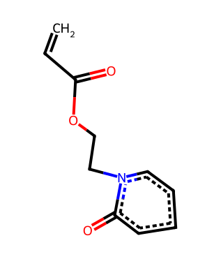 C=CC(=O)OCCn1ccccc1=O